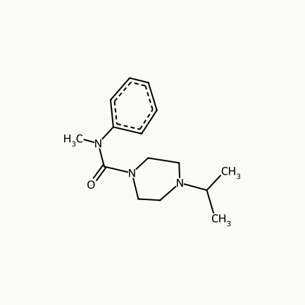 CC(C)N1CCN(C(=O)N(C)c2ccccc2)CC1